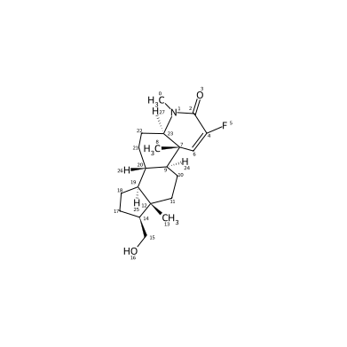 CN1C(=O)C(F)=C[C@]2(C)[C@H]3CC[C@]4(C)[C@@H](CO)CC[C@H]4[C@@H]3CC[C@@H]12